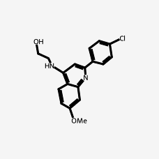 COc1ccc2c(NCCO)cc(-c3ccc(Cl)cc3)nc2c1